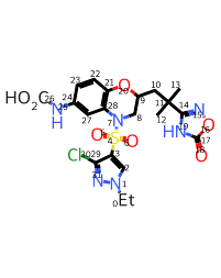 CCn1cc(S(=O)(=O)N2CC(CC(C)(C)c3noc(=O)[nH]3)Oc3ccc(NC(=O)O)cc32)c(Cl)n1